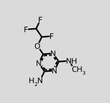 CNc1nc(N)nc(OC(F)C(F)F)n1